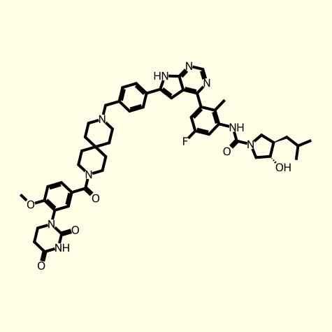 COc1ccc(C(=O)N2CCC3(CCN(Cc4ccc(-c5cc6c(-c7cc(F)cc(NC(=O)N8C[C@@H](CC(C)C)[C@H](O)C8)c7C)ncnc6[nH]5)cc4)CC3)CC2)cc1N1CCC(=O)NC1=O